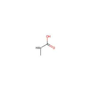 C[AsH]C(=O)O